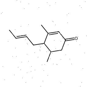 CC=CCC1C(C)=CC(=O)CC1C